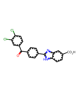 O=C(O)c1ccc2[nH]c(-c3ccc(C(=O)c4ccc(Cl)c(Cl)c4)cc3)nc2c1